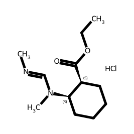 CCOC(=O)[C@H]1CCCC[C@H]1N(C)C=NC.Cl